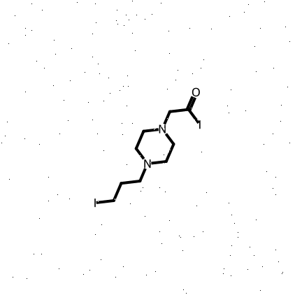 O=C(I)CN1CCN(CCCI)CC1